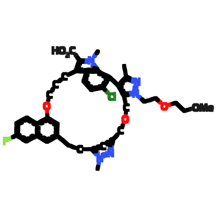 COCCOCCn1nc(C)c2c1COCc1cc(n(C)n1)CCc1cc(c3ccc(F)cc3c1)OCCCc1c(C(=O)O)n(C)c3c-2c(Cl)ccc13